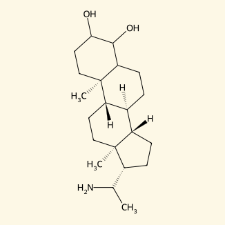 CC(N)[C@H]1CC[C@H]2[C@@H]3CCC4C(O)C(O)CC[C@]4(C)[C@H]3CC[C@]12C